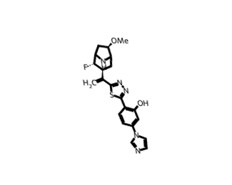 C=C(c1nnc(-c2ccc(-n3ccnc3)cc2O)s1)[C@@H]1CC2NC(C[C@H]2OC)[C@H]1F